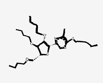 CCCCOC[C@H]1O[C@@H](c2cnc(OCCCC)c(C)n2)[C@@H](OCCCC)C1OCCCC